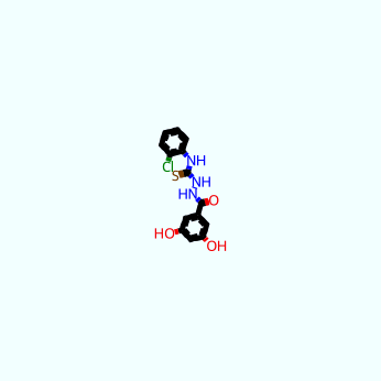 O=C(NNC(=S)Nc1ccccc1Cl)c1cc(O)cc(O)c1